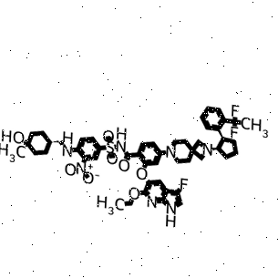 CCOc1nc2[nH]cc(F)c2cc1Oc1cc(N2CCC3(CC2)CN([C@@H]2CCC[C@@H]2c2ccccc2C(C)(F)F)C3)ccc1C(=O)NS(=O)(=O)c1ccc(NC[C@H]2CC[C@](C)(O)CC2)c([N+](=O)[O-])c1